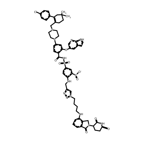 CC1(C)CCC(CN2CCN(c3ccc(C(=O)NS(=O)(=O)c4ccc(NCc5cn(CCCCNc6cccc7c6CN(C6CCC(=O)NC6=O)C7=O)nn5)c([N+](=O)[O-])c4)c(Oc4cnc5[nH]ccc5c4)c3)CC2)=C(c2ccc(Cl)cc2)C1